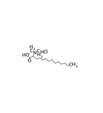 CCCCCCCCCCCCC(C(=O)O)N(C)C.Cl